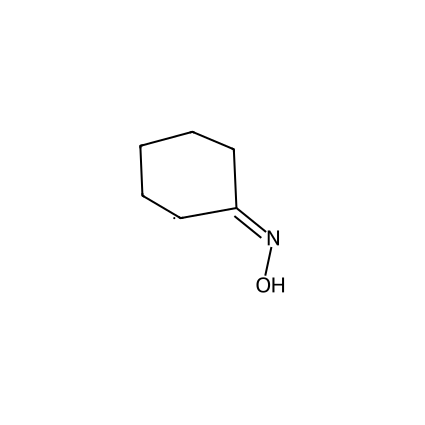 O/N=C1\[CH]CCCC1